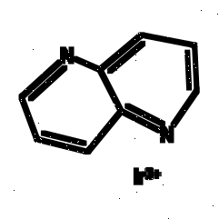 [Ir+3].c1cnc2cccnc2c1